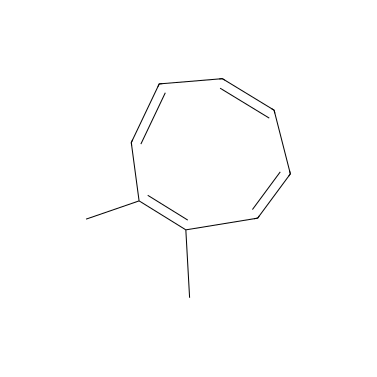 CC1=C(C)C=CC=CC=C1